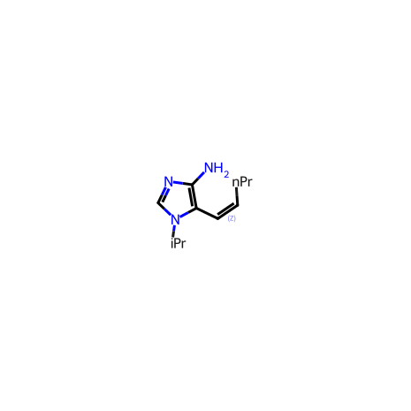 CCC/C=C\c1c(N)ncn1C(C)C